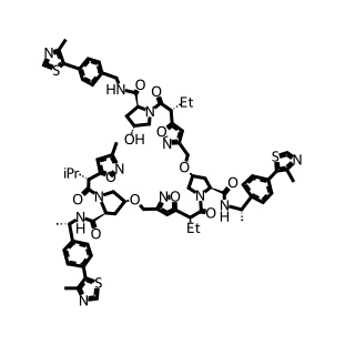 CC[C@@H](C(=O)N1C[C@H](O)C[C@H]1C(=O)NCc1ccc(-c2scnc2C)cc1)c1cc(CO[C@@H]2C[C@@H](C(=O)N[C@@H](C)c3ccc(-c4scnc4C)cc3)N(C(=O)[C@H](CC)c3cc(CO[C@@H]4C[C@@H](C(=O)N[C@@H](C)c5ccc(-c6scnc6C)cc5)N(C(=O)[C@@H](c5cc(C)no5)C(C)C)C4)no3)C2)no1